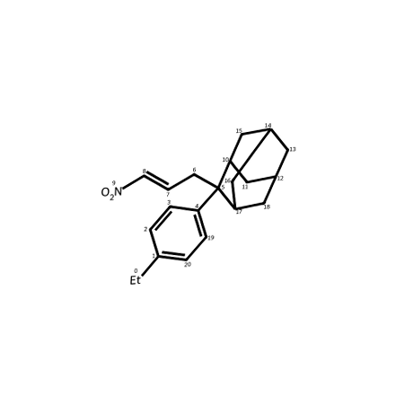 CCc1ccc(C2(CC=C[N+](=O)[O-])C3CC4CC(C3)CC2C4)cc1